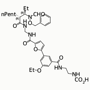 CCCCC[C@@H](C(=O)NCNC(=O)c1ccc(-c2cc(OCC)cc(C(=O)NCCNC(=O)O)c2)o1)[C@@H](CC)N(C=O)OCc1ccccc1